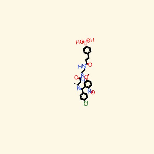 COc1ccc(N=O)c(/C(=N\[C@H](C)CC(=O)NCCNC(=O)/C=C/c2ccc(B(O)O)cc2)c2ccc(Cl)cc2)c1